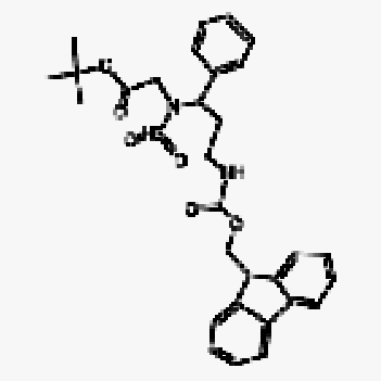 CC(C)(C)OC(=O)CN(C(CCNC(=O)OCC1c2ccccc2-c2ccccc21)c1ccccc1)[SH](=O)=O